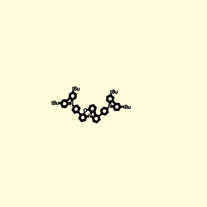 CC(C)(C)c1ccc2c(c1)c1cc(C(C)(C)C)ccc1n2-c1ccc(-c2cccc3c2Oc2cccc4c5c(-c6ccc(-n7c8ccc(C(C)(C)C)cc8c8cc(C(C)(C)C)ccc87)cc6)cccc5n-3c24)cc1